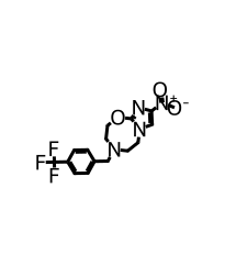 O=[N+]([O-])c1cn2c(n1)OCCN(Cc1ccc(C(F)(F)F)cc1)CC2